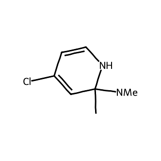 CNC1(C)C=C(Cl)C=CN1